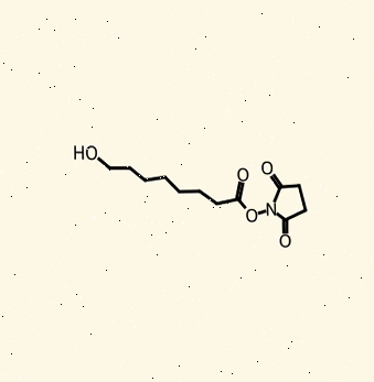 O=C(CCCCCCCO)ON1C(=O)CCC1=O